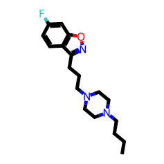 CCCCN1CCN(CCCc2noc3cc(F)ccc23)CC1